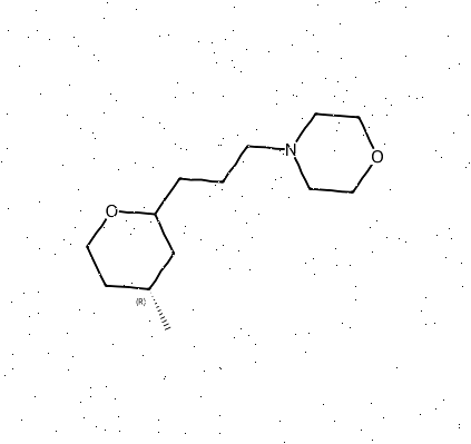 C[C@@H]1CCOC(CCCN2CCOCC2)C1